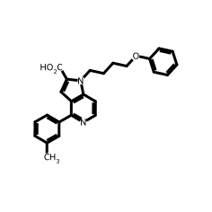 Cc1cccc(-c2nccc3c2cc(C(=O)O)n3CCCCOc2ccccc2)c1